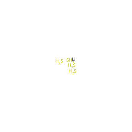 S.S.S.S.[Li]